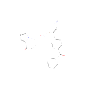 C=N/C=C(\SNOC1CCC(=O)c2cccn21)c1ccc(C(=O)c2ccccc2)cc1